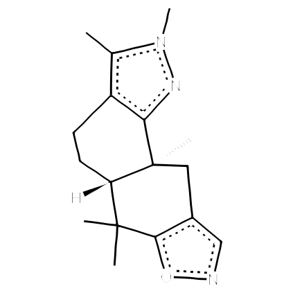 Cc1c2c(nn1C)[C@@]1(C)Cc3cnoc3C(C)(C)[C@@H]1CC2